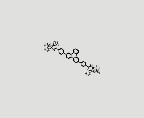 CC1(C)N=C(c2ccc(-c3ccc4c5ccc(-c6ccc(C7=NC(C)(C)C(C)(C)S7)cc6)cc5c5ccccc5c4c3)cc2)SC1(C)C